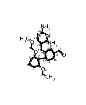 CCOc1cccc(OCOC)c1-c1ccc(C=O)c(F)c1Cc1cnc(N)nc1N